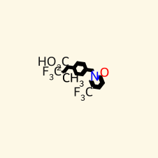 C[C@H]([C@H](C(=O)O)C1C=CC(Cn2cc(C(F)(F)F)ccc2=O)=CC1)C(F)(F)F